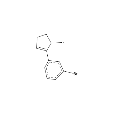 [CH2]C1CCC=C1c1cccc(Br)c1